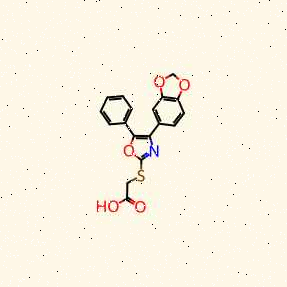 O=C(O)CSc1nc(-c2ccc3c(c2)OCO3)c(-c2ccccc2)o1